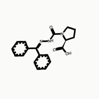 O=C(O)[C@@H]1CCCN1C(=O)NN=C(c1ccccc1)c1ccccc1